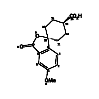 COc1ccc2c(c1)C(=O)O[C@]21CC[C@H](C(=O)O)CC1